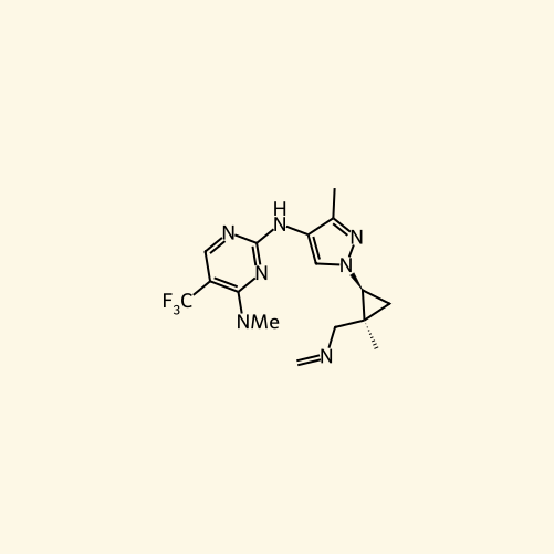 C=NC[C@]1(C)C[C@@H]1n1cc(Nc2ncc(C(F)(F)F)c(NC)n2)c(C)n1